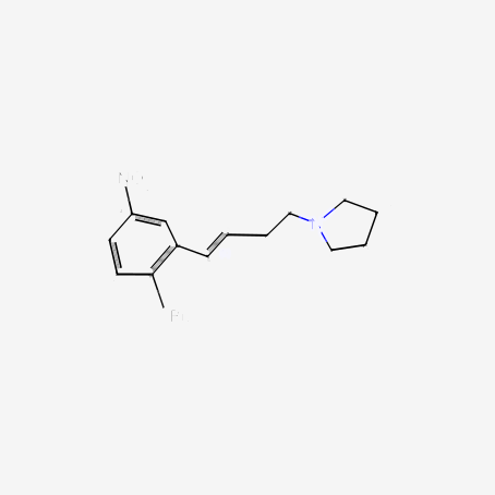 CC(C)(C)c1ccc([N+](=O)[O-])cc1/C=C/CCN1CCCC1